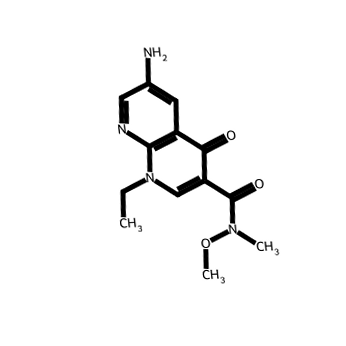 CCn1cc(C(=O)N(C)OC)c(=O)c2cc(N)cnc21